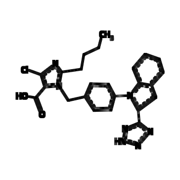 CCCCc1nc(Cl)c(C(=O)O)n1Cc1ccc(-n2c(-c3nn[nH]n3)cc3ccccc32)cc1